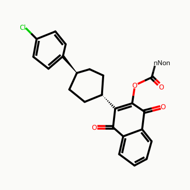 CCCCCCCCCC(=O)OC1=C([C@H]2CC[C@H](c3ccc(Cl)cc3)CC2)C(=O)c2ccccc2C1=O